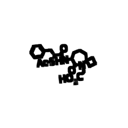 CC(=O)S[C@@H](Cc1ccccc1)C(=O)NC1CCCC2(CCC2)N(CC(=O)O)C1=O